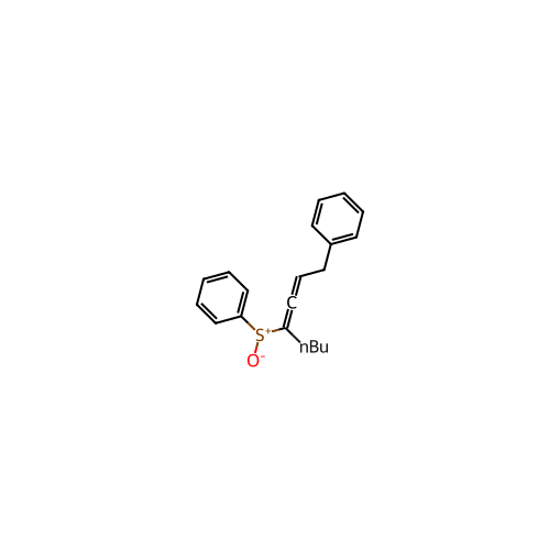 CCCCC(=C=CCc1ccccc1)[S+]([O-])c1ccccc1